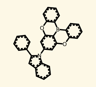 c1ccc(-c2cc3ccccc3n2-c2cc3c4c(c2)Oc2ccccc2B4c2ccccc2O3)cc1